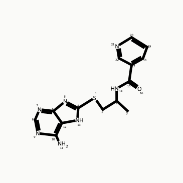 CC(CSc1nc2ncnc(N)c2[nH]1)NC(=O)c1cccnc1